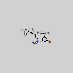 C=C(C)c1cc(Br)cc(CN(C)CC=CC#CC(C)(C)C)c1